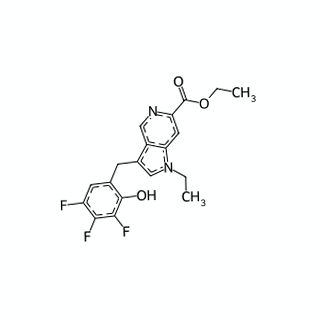 CCOC(=O)c1cc2c(cn1)c(Cc1cc(F)c(F)c(F)c1O)cn2CC